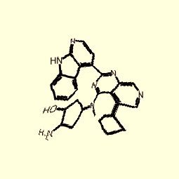 CN(c1nc(-c2ccnc3[nH]c4ccccc4c23)nc2cncc(C3CCC3)c12)C1CC(N)C(O)C1